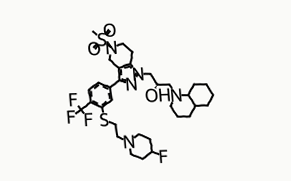 CS(=O)(=O)N1CCc2c(c(-c3ccc(C(F)(F)F)c(SCCN4CCC(F)CC4)c3)nn2C[C@@H](O)CN2CCCC3CCCCC32)C1